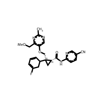 COCc1nc(C)ncc1OC[C@@]1(C2C=CC=C(F)C2)C[C@H]1C(=O)Nc1ccc(C#N)cn1